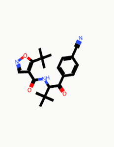 CC(C)(C)c1oncc1C(=O)NC(C(=O)c1ccc(C#N)cc1)C(C)(C)C